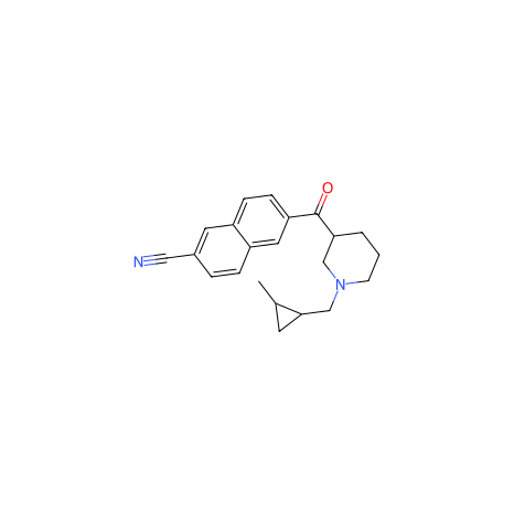 CC1CC1CN1CCCC(C(=O)c2ccc3cc(C#N)ccc3c2)C1